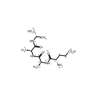 C[C@H](NC(=O)[C@H](C)NC(=O)[C@H](C)NC(=O)[C@@H](N)CCC(=O)O)C(=O)O